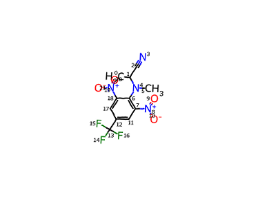 CC(C#N)N(C)c1c([N+](=O)[O-])cc(C(F)(F)F)cc1[N+](=O)[O-]